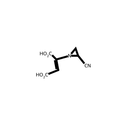 N#CC1CN1C(=CC(=O)O)C(=O)O